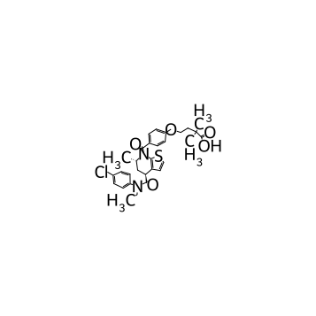 CCN(C(=O)[C@H]1C[C@H](C)N(C(=O)c2ccc(OCCC(C)(C)C(=O)O)cc2)c2sccc21)c1ccc(Cl)cc1